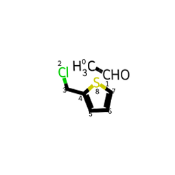 CC=O.ClCc1cccs1